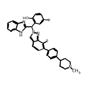 CN1CCC(c2ccc(-c3ccc4cn(C(c5nc6ccccc6[nH]5)c5cc(F)ccc5O)nc4c3F)cc2)CC1